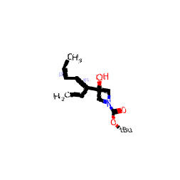 C=C/C(=C\C=C/C)C1(O)CN(C(=O)OC(C)(C)C)C1